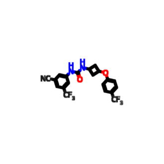 N#Cc1cc(NC(=O)NC2CC(Oc3ccc(C(F)(F)F)cc3)C2)cc(C(F)(F)F)c1